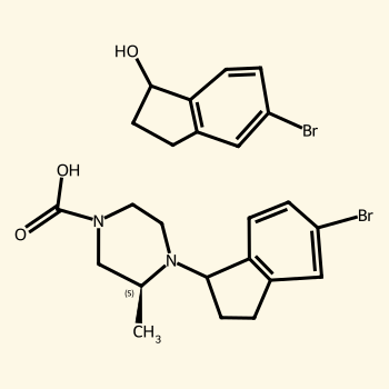 C[C@H]1CN(C(=O)O)CCN1C1CCc2cc(Br)ccc21.OC1CCc2cc(Br)ccc21